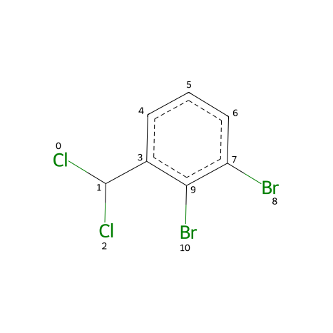 ClC(Cl)c1cccc(Br)c1Br